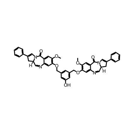 COc1cc2c(cc1OCc1cc(O)cc(COc3cc4c(cc3OC)C(=O)N3C=C(c5ccccc5)C[C@H]3C=N4)c1)N=C[C@@H]1CC(c3ccccc3)=CN1C2=O